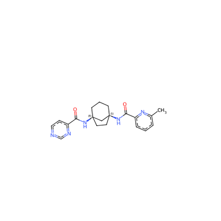 Cc1cccc(C(=O)N[C@@]23CCC[C@@](NC(=O)c4ccncn4)(CC2)C3)n1